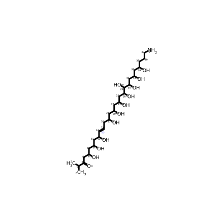 CC(C)C(=O)CC(O)CC(O)CC(O)/C=C/CC(O)CC(O)CC(O)CC(O)C(O)C(O)CC(O)CC(O)CCCN